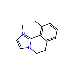 Cc1cccc2c1-c1n(cc[n+]1C)CC2